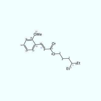 CCC(CC)CCCOC(=O)/C=C/c1ccccc1OC